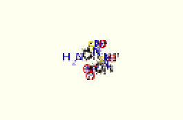 CCn1c(=NOC)sc2cc(N)ccc21.CCn1c(=NOC)sc2cc([N+](=O)[O-])ccc21